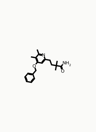 Cc1nc(CCC(C)(C)C(N)=O)cc(OCc2ccccc2)c1C